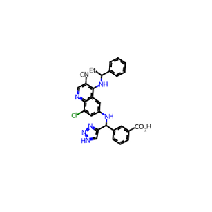 CCC(Nc1c(C#N)cnc2c(Cl)cc(NC(c3cccc(C(=O)O)c3)c3c[nH]nn3)cc12)c1ccccc1